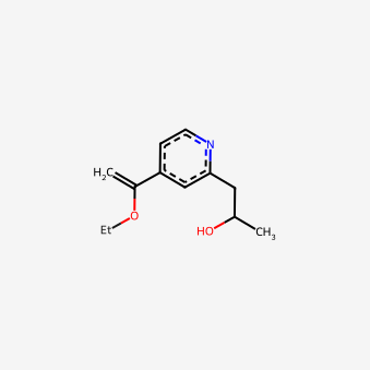 C=C(OCC)c1ccnc(CC(C)O)c1